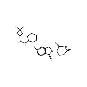 C=C1CCC(N2Cc3cc(C[C@H]4CCCC[C@@H]4N[C@H](C)C4CC(F)(F)C4)ccc3C2=O)C(=O)N1